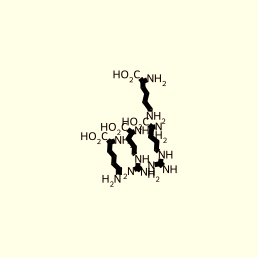 N=C(N)NCCCC(N)C(=O)O.N=C(N)NCCCC(N)C(=O)O.NCCCCC(N)C(=O)O.NCCCCC(N)C(=O)O